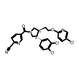 N#Cc1ccc(C(=O)N2C[C@@H](CCOc3ccc(Cl)cn3)[C@H](c3ccc(Cl)c(Cl)c3)C2)cn1